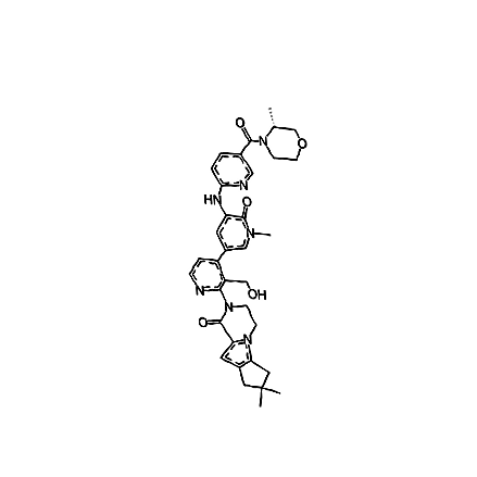 C[C@@H]1COCCN1C(=O)c1ccc(Nc2cc(-c3ccnc(N4CCn5c(cc6c5CC(C)(C)C6)C4=O)c3CO)cn(C)c2=O)nc1